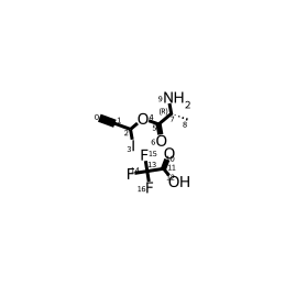 C#CC(I)OC(=O)[C@@H](C)N.O=C(O)C(F)(F)F